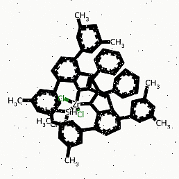 Cc1cc(C)cc(-c2ccc(-c3cc(C)cc(C)c3)c3c2C=C(Cc2ccccc2)[CH]3[Zr]([Cl])([Cl])([CH]2C(Cc3ccccc3)=Cc3c(-c4cc(C)cc(C)c4)ccc(-c4cc(C)cc(C)c4)c32)[SiH](C)C)c1